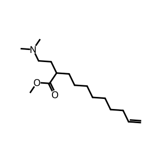 C=CCCCCCCCC(CCN(C)C)C(=O)OC